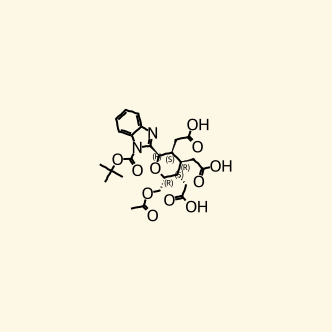 CC(=O)OC[C@@H]1O[C@@H](c2nc3ccccc3n2C(=O)OC(C)(C)C)[C@@H](CC(=O)O)[C@@H](CC(=O)O)[C@@H]1CC(=O)O